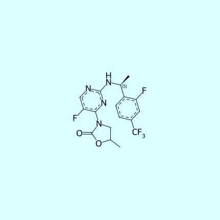 CC1CN(c2nc(N[C@@H](C)c3ccc(C(F)(F)F)cc3F)ncc2F)C(=O)O1